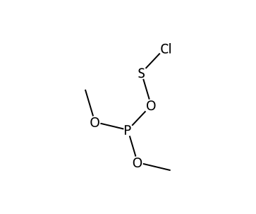 COP(OC)OSCl